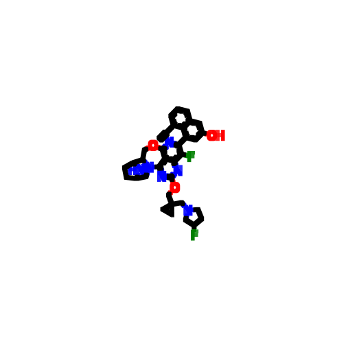 C#Cc1cccc2cc(O)cc(-c3nc4c5c(nc(OCC6(CN7CCC(F)C7)CC6)nc5c3F)N3CC5CCC(N5)C3CO4)c12